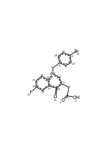 O=C(O)Cc1cn(Cc2ccc(Br)cc2)c2ccc(F)cc2c1=O